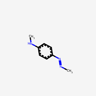 CN=Nc1ccc(NC)cc1